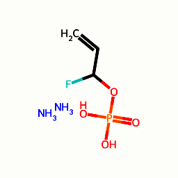 C=CC(F)OP(=O)(O)O.N.N